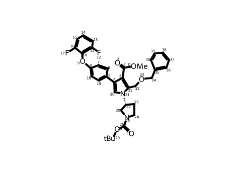 COC(=O)c1c(-c2ccc(Oc3c(F)cccc3F)cc2)cn([C@@H]2CCN(C(=O)OC(C)(C)C)C2)c1COCc1ccccc1